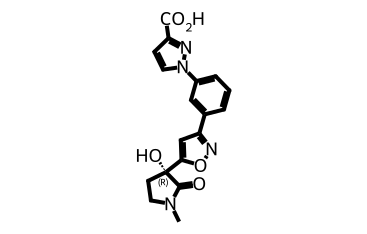 CN1CC[C@@](O)(c2cc(-c3cccc(-n4ccc(C(=O)O)n4)c3)no2)C1=O